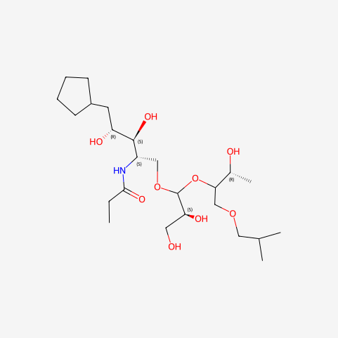 CCC(=O)N[C@@H](COC(OC(COCC(C)C)[C@@H](C)O)[C@@H](O)CO)[C@H](O)[C@H](O)CC1CCCC1